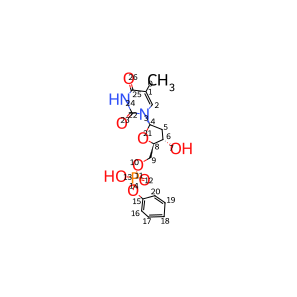 Cc1cn([C@H]2C[C@H](O)[C@@H](COP(=O)(O)Oc3ccccc3)O2)c(=O)[nH]c1=O